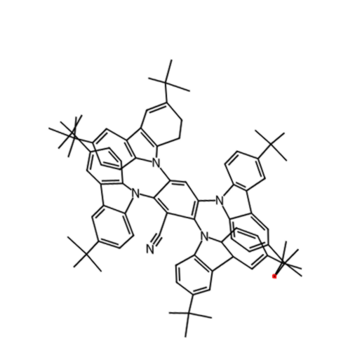 CC(C)(C)C1=CC2c3cc(C(C)(C)C)ccc3N(c3c(-n4c5ccc(C(C)(C)C)cc5c5cc(C(C)(C)C)ccc54)cc(-n4c5c(c6cc(C(C)(C)C)ccc64)C=C(C(C)(C)C)CC5)c(-n4c5ccc(C(C)(C)C)cc5c5cc(C(C)(C)C)ccc54)c3C#N)C2C=C1